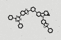 C1=c2ccc3c4cc(-c5cccc(-c6nc7ccc(-c8nc(-c9ccccc9)nc(-c9ccccc9)n8)cc7o6)c5)ccc4n(-c4ccc5oc(-c6ccccc6)nc5c4)c3c2=1